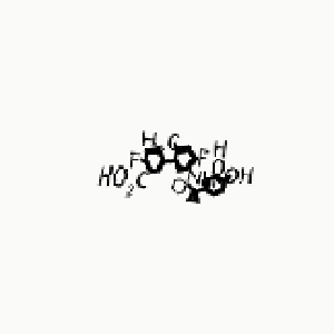 Cc1cc(F)c(NC(=O)C2(c3ccc(O)c(O)c3)CC2)cc1-c1ccc(F)c(C(=O)O)c1